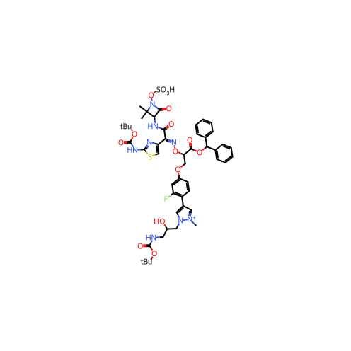 C[n+]1cc(-c2ccc(OCC(ON=C(C(=O)NC3C(=O)N(OS(=O)(=O)O)C3(C)C)c3csc(NC(=O)OC(C)(C)C)n3)C(=O)OC(c3ccccc3)c3ccccc3)cc2F)cn1CC(O)CNC(=O)OC(C)(C)C